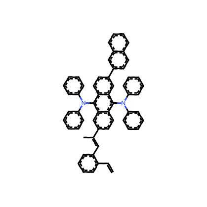 C=Cc1ccccc1/C=C(\C)c1ccc2c(N(c3ccccc3)c3ccccc3)c3cc(-c4ccc5ccccc5c4)ccc3c(N(c3ccccc3)c3ccccc3)c2c1